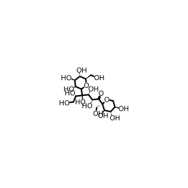 O=C([C@H](O)[C@@H](O)[C@@](O)(C1O[C@H](CO)[C@@H](O)[C@H](O)[C@H]1O)[C@H](O)CO)[C@@]1(CO)OC[C@@H](O)[C@H](O)[C@H]1O